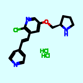 Cl.Cl.Clc1ncc(OC[C@H]2CCCN2)cc1C=Cc1ccncc1